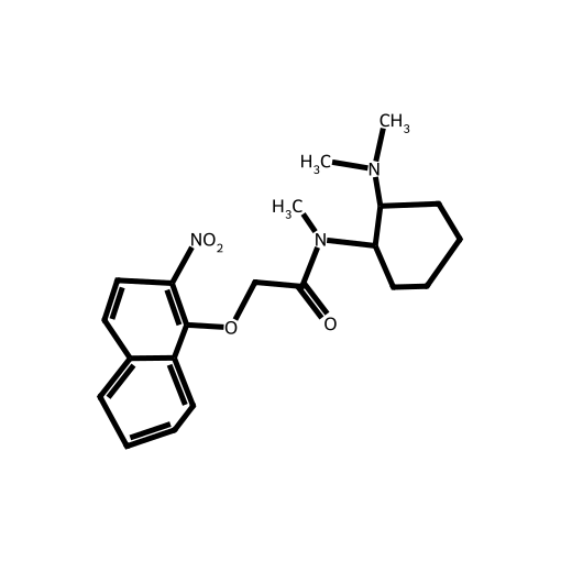 CN(C)C1CCCCC1N(C)C(=O)COc1c([N+](=O)[O-])ccc2ccccc12